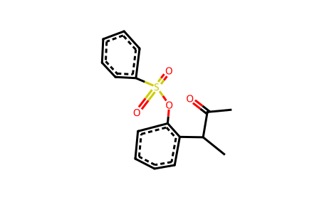 CC(=O)C(C)c1ccccc1OS(=O)(=O)c1ccccc1